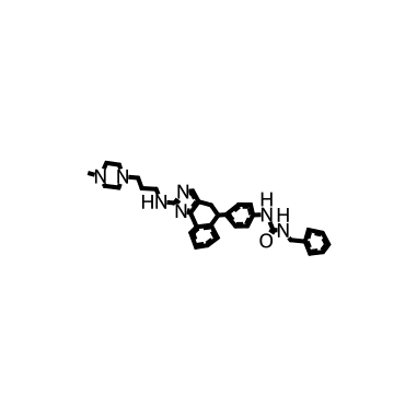 CN1CCN(CCCNc2ncc3c(n2)-c2ccccc2C(c2ccc(NC(=O)NCc4ccccc4)cc2)C3)CC1